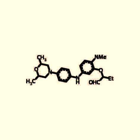 CCC(C=O)Oc1cc(Nc2ccc(N3CC(C)OC(C)C3)cc2)ccc1NC